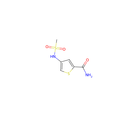 CS(=O)(=O)Nc1csc(C(N)=O)c1